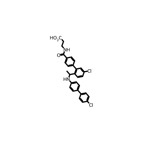 CC(Nc1ccc(-c2ccc(Cl)cc2)cc1)c1ccc(Cl)cc1-c1ccc(C(=O)NCCC(=O)O)cc1